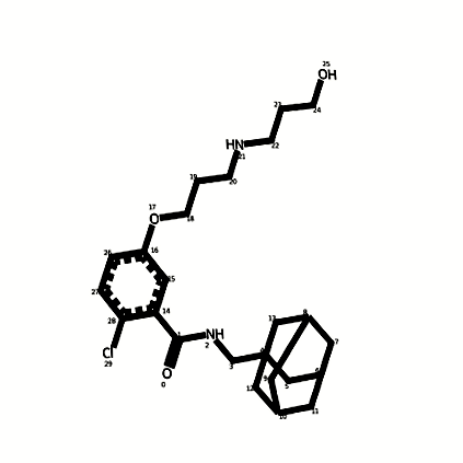 O=C(NCC12CC3CC(CC(C3)C1)C2)c1cc(OCCCNCCCO)ccc1Cl